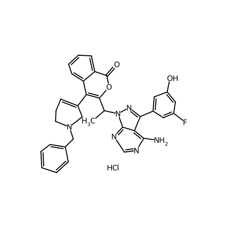 CC(c1oc(=O)c2ccccc2c1C1=CCCN(Cc2ccccc2)C1)n1nc(-c2cc(O)cc(F)c2)c2c(N)ncnc21.Cl